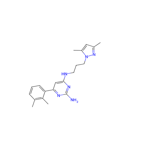 Cc1cc(C)n(CCCNc2cc(-c3cccc(C)c3C)nc(N)n2)n1